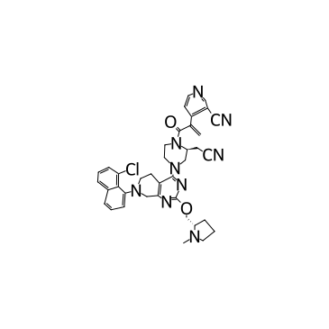 C=C(C(=O)N1CCN(c2nc(OC[C@@H]3CCCN3C)nc3c2CCN(c2cccc4cccc(Cl)c24)C3)C[C@@H]1CC#N)c1ccncc1C#N